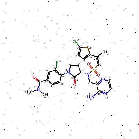 C/C(=C/S(=O)(=O)N(Cc1nccnc1N)[C@H]1CCN(c2ccc(C(=O)N(C)C)cc2F)C1=O)c1ccc(Cl)s1